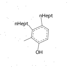 CCCCCCCc1ccc(O)c(C)c1CCCCCCC